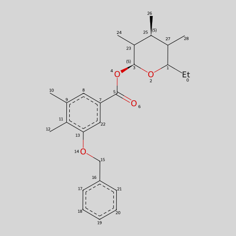 CCC1O[C@@H](OC(=O)c2cc(C)c(C)c(OCc3ccccc3)c2)C(C)[C@@H](C)C1C